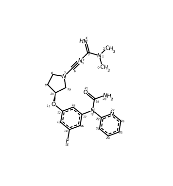 CN(C)C(=N)[N+]#CN1CC[C@H](Oc2cc(F)cc(N(C(N)=O)c3ccccn3)c2)C1